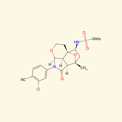 CNS(=O)(=O)N[C@H]1C[C@@]2(C)O[C@@]13CCO[C@H]1[C@@H]3[C@@H]2C(=O)N1c1ccc(C#N)c(Cl)c1